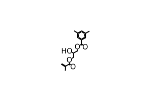 C=C(C)C(=O)OCC(O)COC(=O)c1cc(C)cc(C)c1